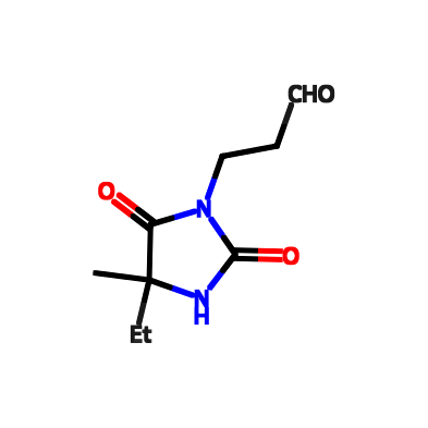 CCC1(C)NC(=O)N(CCC=O)C1=O